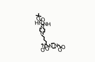 COC(=O)CN1CCN(C2OC(=O)N(C)C2CCCCN2CCN(C(=N)NC(=O)OC(C)(C)C)CC2)CC1